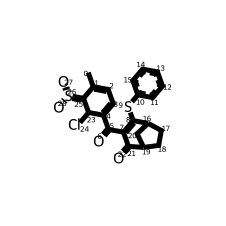 CC1=CC=C(C(=O)C2=C(Sc3ccccc3)C3CCC(C3)C2=O)C(Cl)C1=S(=O)=O